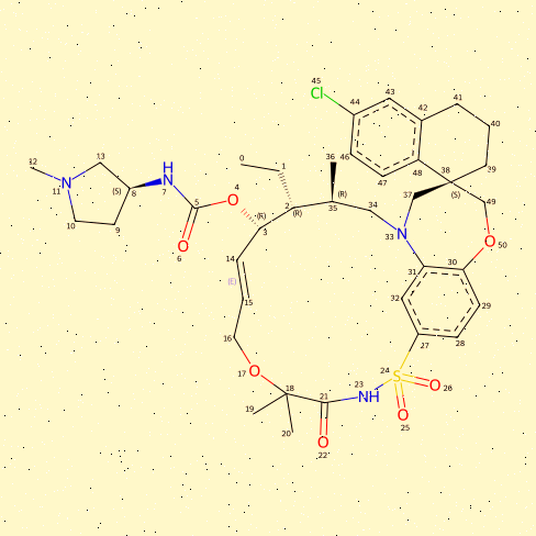 CC[C@H]1[C@@H](OC(=O)N[C@H]2CCN(C)C2)/C=C/COC(C)(C)C(=O)NS(=O)(=O)c2ccc3c(c2)N(C[C@@H]1C)C[C@@]1(CCCc2cc(Cl)ccc21)CO3